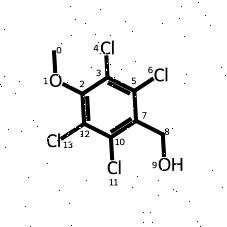 COc1c(Cl)c(Cl)c(CO)c(Cl)c1Cl